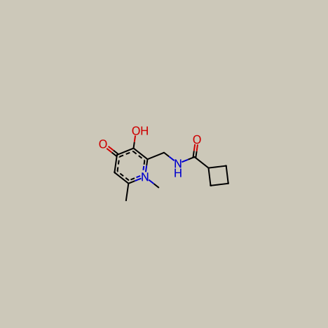 Cc1cc(=O)c(O)c(CNC(=O)C2CCC2)n1C